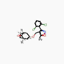 CC(C)c1onc(-c2c(Cl)cccc2Cl)c1CO[C@@H]1C[C@H]2C[C@H](C)[C@@H](C1)C2=O